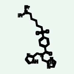 CC(C)N(CCCCCS(=O)(=O)c1ccc(C(=O)N(Cc2ncc[nH]2)Cc2ncc[nH]2)cc1)C(C)C